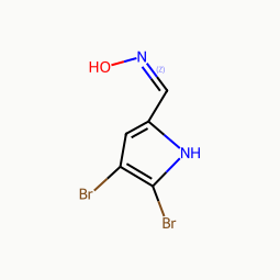 O/N=C\c1cc(Br)c(Br)[nH]1